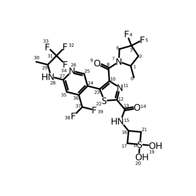 CC1CC(F)(F)CN1C(=O)c1nc(C(=O)NC2CS(O)(O)C2)sc1-c1cnc(NC(C)C(F)(F)F)cc1C(F)F